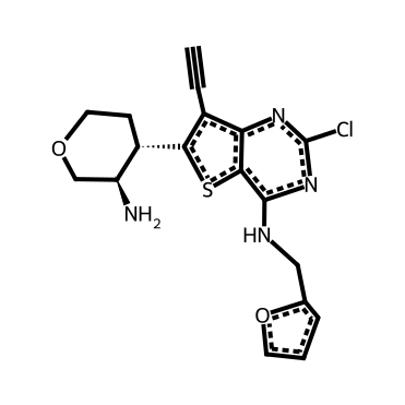 C#Cc1c([C@H]2CCOC[C@@H]2N)sc2c(NCc3ccco3)nc(Cl)nc12